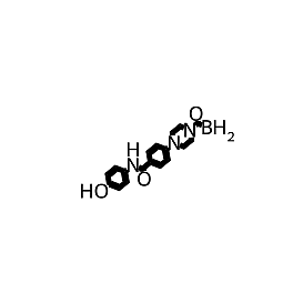 BC(=O)N1CCN(c2ccc(C(=O)Nc3ccc(O)cc3)cc2)CC1